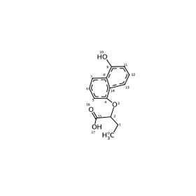 CCC(Oc1cccc2c(O)cccc12)C(=O)O